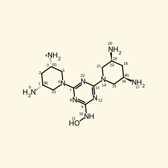 N[C@@H]1C[C@H](N)CN(c2nc(NO)nc(N3C[C@H](N)C[C@H](N)C3)n2)C1